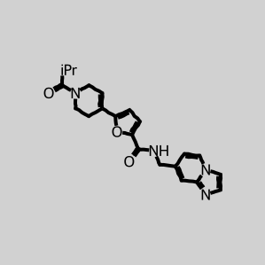 CC(C)C(=O)N1CC=C(c2ccc(C(=O)NCc3ccn4ccnc4c3)o2)CC1